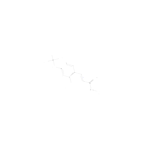 COc1cc(OC(F)(F)F)ccc1/C=C/C(=O)NO